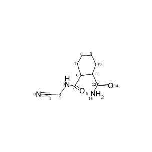 N#CCNC(=O)C1CCCCC1C(N)=O